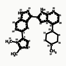 Cc1ncc(-c2cc3c(-c4cc5c(N6CCN(C)CC6)ccnc5[nH]4)n[nH]c3cn2)n1C